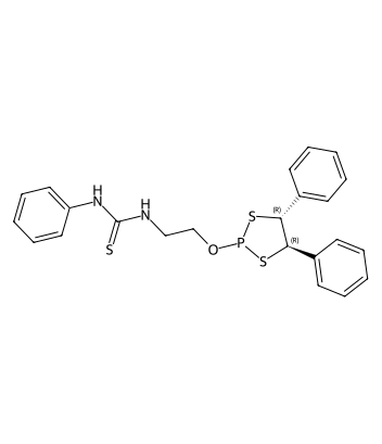 S=C(NCCOP1S[C@H](c2ccccc2)[C@@H](c2ccccc2)S1)Nc1ccccc1